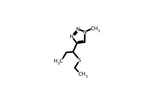 CCSC(CC)c1cn(C)nn1